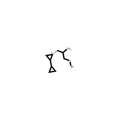 CC(CSC(C)C)C[C@H]1CC1C1CC1